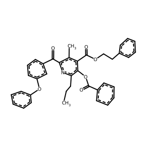 CCCc1nc(C(=O)c2cccc(Oc3ccccc3)c2)c(C)c(C(=O)OCCc2ccccc2)c1OC(=O)c1ccccc1